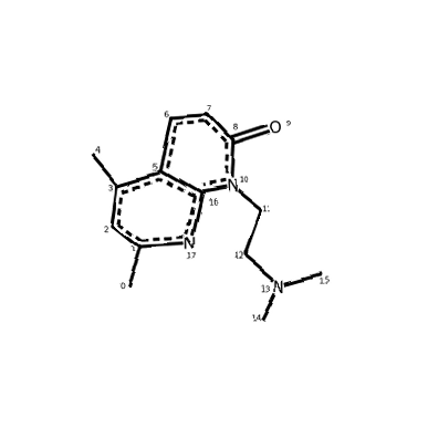 Cc1cc(C)c2ccc(=O)n(CCN(C)C)c2n1